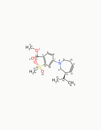 COC(=O)c1ccc(N2CCC#C[C@@H](C(C)C)C2)cc1S(C)(=O)=O